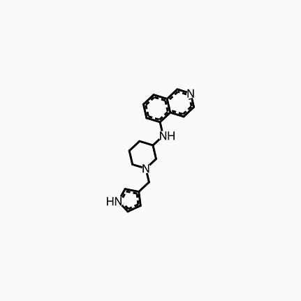 c1cc(NC2CCCN(Cc3cc[nH]c3)C2)c2ccncc2c1